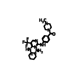 CN1CCN(C(=O)c2ccc(Nc3ncc(C(F)(F)F)c(N[C@@H]4CCCC[C@@H]4N)n3)cc2)CC1